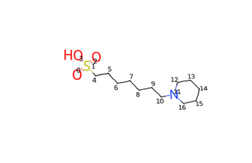 O=S(=O)(O)CCCCCCCN1CCCCC1